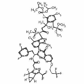 COP(=O)(Cc1cc(C)cc(OP(=O)(OC(C)C)OC(C)C)c1C(C)(C)CC(=O)N(c1nn(C)c2c(-n3c([C@H](Cc4cc(F)cc(F)c4)NC(=O)Cn4nc(C(F)F)c5c4C(F)(F)[C@@H]4C[C@H]54)nc4nc(OCCC(F)(F)F)ccc4c3=O)ccc(Cl)c12)S(C)(=O)=O)OC